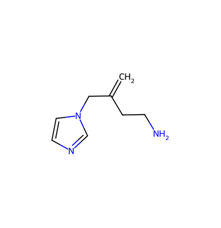 C=C(CCN)Cn1ccnc1